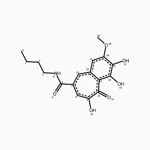 CCCCNC(=O)c1cc(O)c(=O)c2c(O)c(O)c(OC)cc2c1